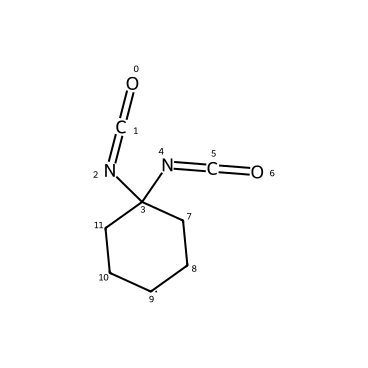 O=C=NC1(N=C=O)CC[CH]CC1